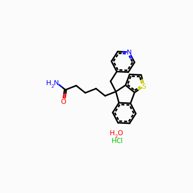 Cl.NC(=O)CCCCC1(Cc2ccncc2)c2ccccc2-c2sccc21.O